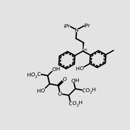 Cc1ccc(O)c([C@H](CCN(C(C)C)C(C)C)c2ccccc2)c1.O=C(O)C(O)C(O)C(=O)OC(C(=O)O)C(O)C(=O)O